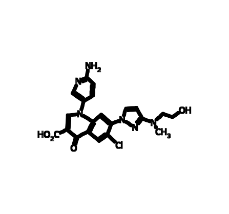 CN(CCO)c1ccn(-c2cc3c(cc2Cl)c(=O)c(C(=O)O)cn3-c2ccc(N)nc2)n1